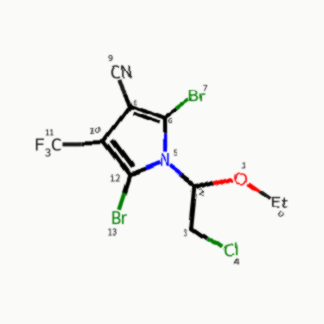 CCOC(CCl)n1c(Br)c(C#N)c(C(F)(F)F)c1Br